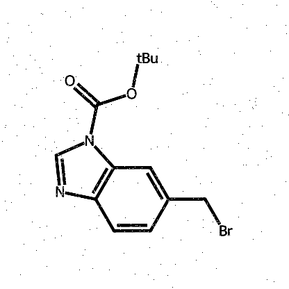 CC(C)(C)OC(=O)n1cnc2ccc(CBr)cc21